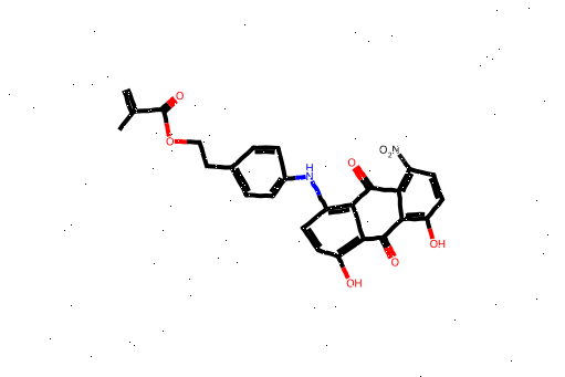 C=C(C)C(=O)OCCc1ccc(Nc2ccc(O)c3c2C(=O)c2c([N+](=O)[O-])ccc(O)c2C3=O)cc1